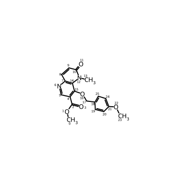 COC(=O)c1cnc2ccc(=O)n(C)c2c1OCc1ccc(OC)cc1